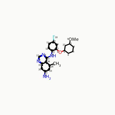 COC1CCCC(Oc2cc(F)ccc2Nc2ncnc3cc(N)cc(C)c23)C1